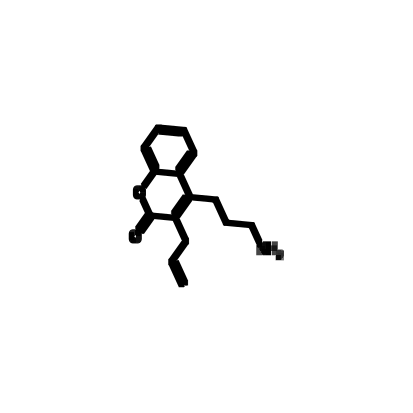 C=CCc1c(CCCN)c2ccccc2oc1=O